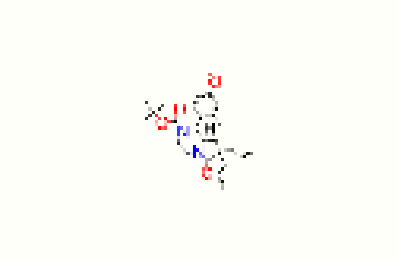 C=CCC1(CC=C)C[C@H]2[C@H](c3ccc(OC)cc3C)N(C(=O)OC(C)(C)C)CCN2C1=O